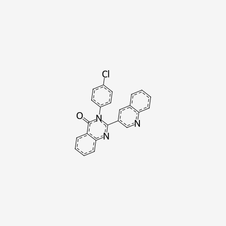 O=c1c2ccccc2nc(-c2cnc3ccccc3c2)n1-c1ccc(Cl)cc1